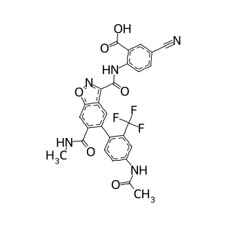 CNC(=O)c1cc2onc(C(=O)Nc3ccc(C#N)cc3C(=O)O)c2cc1-c1ccc(NC(C)=O)cc1C(F)(F)F